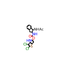 CC(=O)N[C@H]1c2ccccc2C[C@@H]1NC(=O)Oc1cc2sc(Cl)c(Cl)c2[nH]1